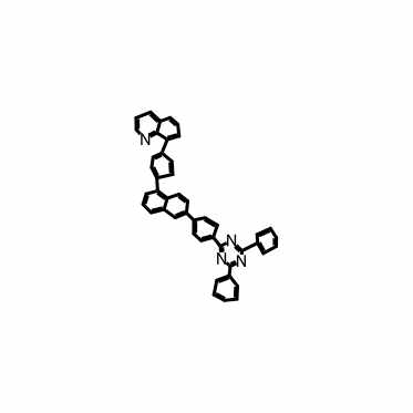 c1ccc(-c2nc(-c3ccccc3)nc(-c3ccc(-c4ccc5c(-c6ccc(-c7cccc8cccnc78)cc6)cccc5c4)cc3)n2)cc1